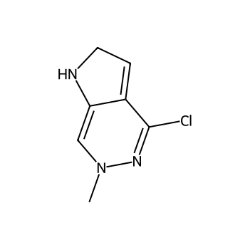 CN1C=C2NCC=C2C(Cl)=N1